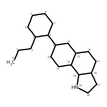 CCCC1CCCCC1C1CCC2C(CCC3CCNC32)C1